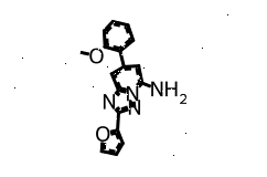 COc1ccccc1-c1cc(N)n2nc(-c3ccco3)nc2c1